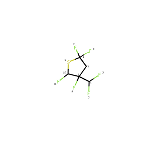 FC(F)C1(F)CC(F)(F)SC1F